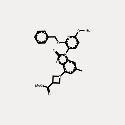 CCCCOc1ccc(-n2c(=O)oc3c(N4CC(C(=O)OC)C4)cc(F)cc32)c(OCc2ccccc2)n1